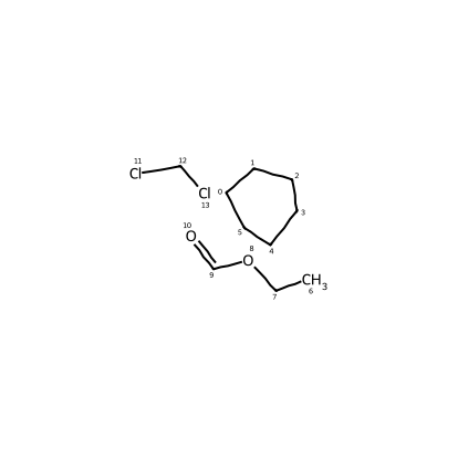 C1CCCCC1.CCOC=O.ClCCl